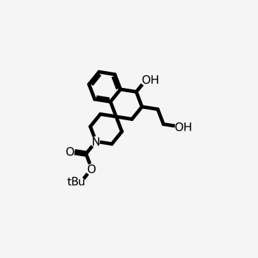 CC(C)(C)OC(=O)N1CCC2(CC1)CC(CCO)C(O)c1ccccc12